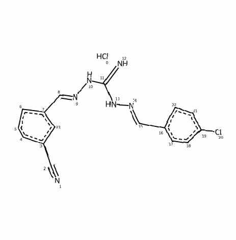 Cl.N#Cc1cccc(C=NNC(=N)NN=Cc2ccc(Cl)cc2)c1